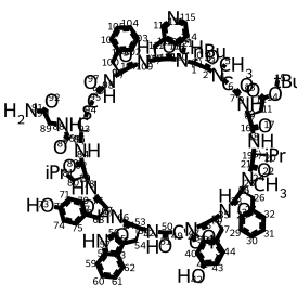 CCCC[C@H]1C(=O)N(C)CC(=O)N[C@@H](CC(=O)OC(C)(C)C)C(=O)N[C@@H](C(C)C)C(=O)N(C)[C@@H](Cc2ccccc2)C(=O)N[C@@H](Cc2ccc(O)cc2)C(=O)N(C)CC(=O)N[C@@H](Cc2c[nH]c3ccccc23)C(=O)N[C@@H](Cc2ccc(O)cc2)C(=O)N[C@@H](CC(C)C)C(=O)N[C@H](C(=O)NCC(N)=O)CSCC(=O)N[C@@H](Cc2ccccc2)C(=O)N[C@@H](Cc2cccnc2)C(=O)N1C